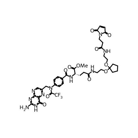 COC(=O)[C@H](CCC(=O)NCCOC1(OCCNC(=O)CCN2C(=O)C=CC2=O)CCCC1)NC(=O)c1ccc(N(Cc2cnc3nc(N)[nH]c(=O)c3n2)C(=O)C(F)(F)F)cc1